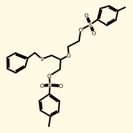 Cc1ccc(S(=O)(=O)OCCOC(COS(=O)(=O)c2ccc(C)cc2)CSCc2ccccc2)cc1